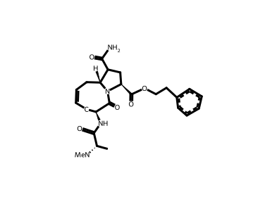 CN[C@@H](C)C(=O)N[C@H]1CC=CC[C@@H]2C(C(N)=O)C[C@@H](C(=O)OCCc3ccccc3)N2C1=O